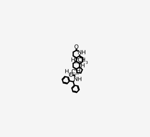 C[C@]12CC[C@H]3[C@@H](CC=C4NC(=O)CC[C@@]43C)[C@@H]1CC[C@@H]2C(=O)NC(c1ccccc1)c1ccccc1